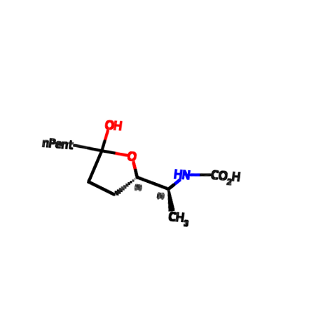 CCCCCC1(O)CC[C@@H]([C@H](C)NC(=O)O)O1